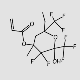 C=CC(=O)OC1(C)CC(CC)(C(F)(F)F)OC(O)(C(F)(F)F)C1(F)F